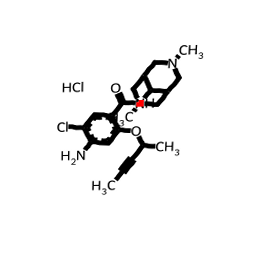 CC#CC(C)Oc1cc(N)c(Cl)cc1C(=O)NC1C2CN(C)CC1CN(C)C2.Cl